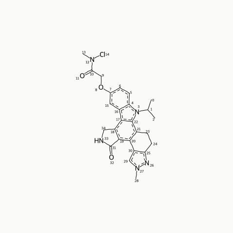 CC(C)n1c2ccc(OCC(=O)N(C)Cl)cc2c2c3c(c4c(c21)CCc1nn(C)cc1-4)C(=O)NC3